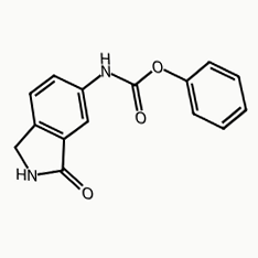 O=C(Nc1ccc2c(c1)C(=O)NC2)Oc1ccccc1